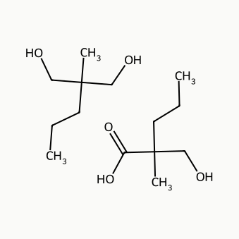 CCCC(C)(CO)C(=O)O.CCCC(C)(CO)CO